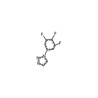 Fc1cc(-n2ccnn2)cc(F)c1F